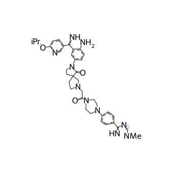 CN/C=N\C(=N)c1ccc(N2CCN(C(=O)CN3CCC4(CCN(c5ccc(N)c(C(=N)c6ccc(OC(C)C)nc6)c5)C4=O)C3)CC2)cc1